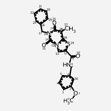 COc1cccc(CNC(=O)c2cn3c(=O)n(Cc4ccccc4)c(=O)c(C)c3s2)c1